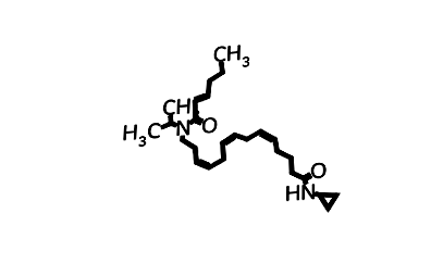 CCC/C=C/C(=O)N(CC/C=C\C/C=C\C/C=C\CCCC(=O)NC1CC1)C(C)C